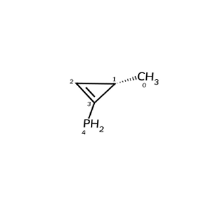 C[C@H]1C=C1P